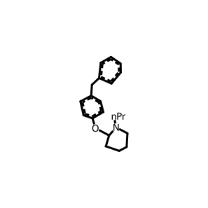 CCCN1CCCCC1Oc1ccc(Cc2ccccc2)cc1